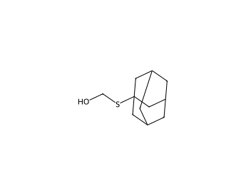 OCSC12CC3CC(CC(C3)C1)C2